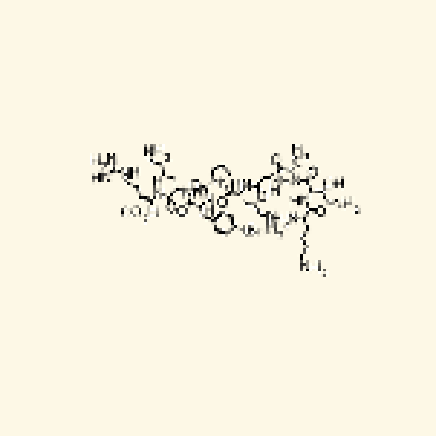 C[C@H](NC(=O)[C@@H](NC(=O)[C@@H](N)CCCCN)[C@@H](O)CN)C(=O)NCC(=O)N[C@H](CCCN)C(=O)N1CCC[C@H]1C(=O)N[C@@H](Cc1ccc(C(C)(C)C)cc1)C(=O)N[C@@H](CCCCN)C(=O)N/C(=C\CCNC(=N)N)C(=O)O